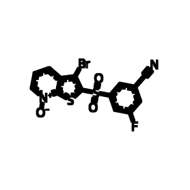 N#Cc1cc(F)cc(S(=O)(=O)c2sc3c(ccc[n+]3[O-])c2Br)c1